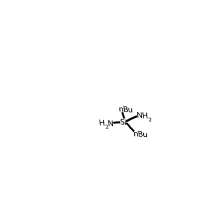 CCCC[Si](N)(N)CCCC